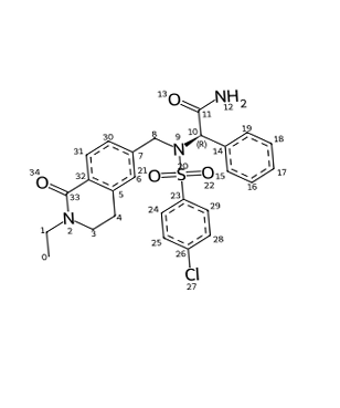 CCN1CCc2cc(CN([C@@H](C(N)=O)c3ccccc3)S(=O)(=O)c3ccc(Cl)cc3)ccc2C1=O